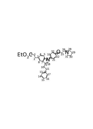 CCOC(=O)CCc1ccc2c(c1)c(CCc1ccccc1)cn2-c1ccc(OCCN2CCCC2)cc1